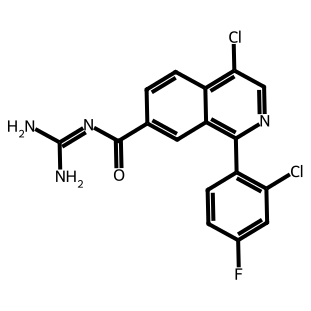 NC(N)=NC(=O)c1ccc2c(Cl)cnc(-c3ccc(F)cc3Cl)c2c1